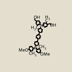 COc1ccc(N(c2ccc(-c3ccc(-c4ccc(N(c5ccc(CO)c(C)c5)c5ccc(CO)cc5C)cc4)cc3)cc2)c2ccc(OC)c(C)c2)c(C)c1